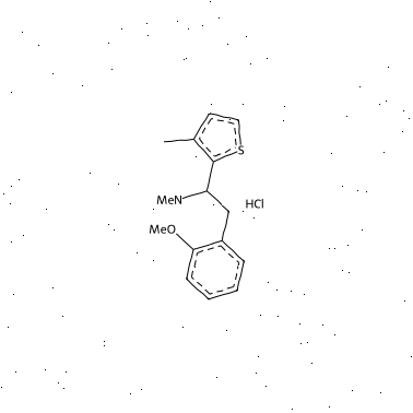 CNC(Cc1ccccc1OC)c1sccc1C.Cl